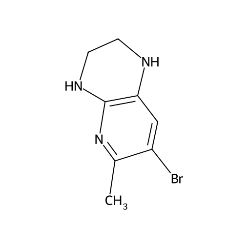 Cc1nc2c(cc1Br)NCCN2